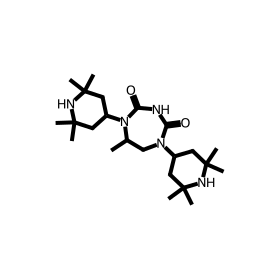 CC1CN(C2CC(C)(C)NC(C)(C)C2)C(=O)NC(=O)N1C1CC(C)(C)NC(C)(C)C1